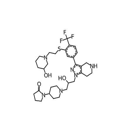 O=C1CCCN1C1CCN(CC(O)Cn2nc(-c3ccc(C(F)(F)F)c(SCCN4CCCC(O)C4)c3)c3c2CCNC3)CC1